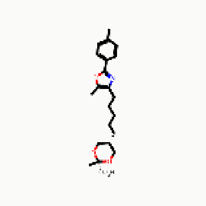 Cc1ccc(-c2nc(CCCCC[C@H]3CO[C@@](C)(C(=O)O)OC3)c(C)o2)cc1